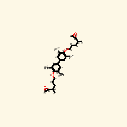 CC(C)c1cc(-c2cc(C(C)C)c(OCCCC(C)C3CO3)c(C(C)C)c2)cc(C(C)C)c1OCCCC(C)C1CO1